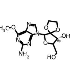 COc1nc(N)nc2c1ncn2C1OC(CO)[C@@H](O)C12OCCO2